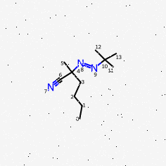 CCCCC(C)(C#N)/N=N/C(C)(C)C